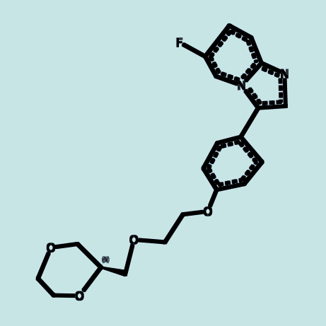 Fc1ccc2ncc(-c3ccc(OCCOC[C@@H]4COCCO4)cc3)n2c1